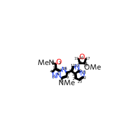 CNC(=O)c1cnn2c(NC)cc(-c3cn([C@H]4COC[C@@H]4OC)c4ncccc34)nc12